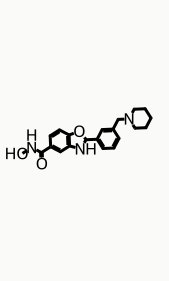 O=C(NO)c1ccc2c(c1)NC(c1cccc(CN3CCCCC3)c1)O2